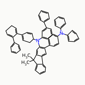 CC1(C)c2ccccc2-c2cc(-c3ccc(N(c4ccccc4)c4ccccc4)cc3)c(N(c3cccc(-c4ccccc4)c3)C3C=CC(C4=CCCC=C4c4ccccc4)=CC3)cc21